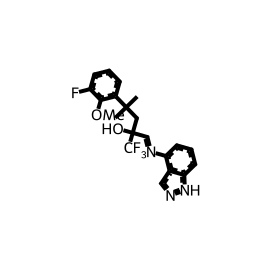 COc1c(F)cccc1C(C)(C)CC(O)(C=Nc1cccc2[nH]ncc12)C(F)(F)F